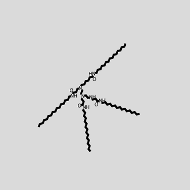 CCCCCCCCCCCCCCCCNC(=O)CCCCCN(CCC(=O)NCCCCCCCCCCCCCCCC)CCN(CCNCCC(=O)NCCCCCCCCCCCCCCCC)CCC(=O)NCCCCCCCCCCCCCCCC